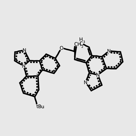 C=C(/C=c1\c(=C/C)c2ncccc2n2ccnc12)Oc1ccc2c3cc(C(C)(C)C)ccc3n3ccnc3c2c1